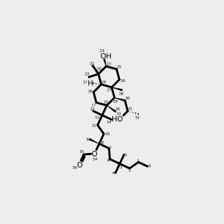 CCCC(C)(C)CC[C@@](C)(CCC(C)(C)[C@]1(C)CC[C@H]2C(C)(C)[C@@H](O)CC[C@]2(C)[C@H]1C[C@H](C)O)OC=O